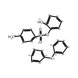 Cc1ccc(S(=O)(=O)Oc2ccccc2O)cc1.c1ccc(Sc2ccccc2)cc1